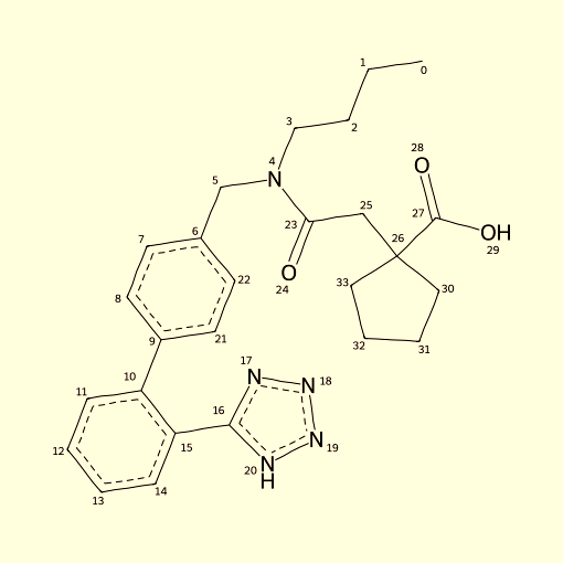 CCCCN(Cc1ccc(-c2ccccc2-c2nnn[nH]2)cc1)C(=O)CC1(C(=O)O)CCCC1